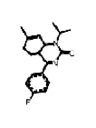 CC1=CC2C(CC1)C(c1ccc(F)cc1)=NC(=O)N2C(C)C